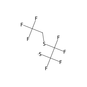 FC(F)(F)CSC(F)(F)C(F)(F)[S]